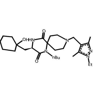 CCCCN1C(=O)[C@@H](CC2(O)CCCCC2)NC(=O)C12CCN(Cc1c(C)nn(CC)c1C)CC2